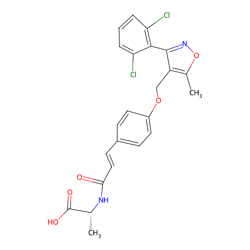 Cc1onc(-c2c(Cl)cccc2Cl)c1COc1ccc(/C=C/C(=O)N[C@H](C)C(=O)O)cc1